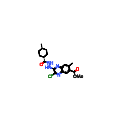 COC(=O)c1cc2nc(Cl)c(NNC(=O)[C@H]3CC[C@H](C)CC3)nc2cc1C